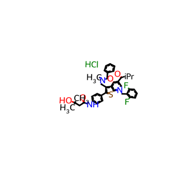 CC(C)C(=O)c1cn(Cc2c(F)cccc2F)c2sc(-c3ccc(NC(=O)CC(C)(C)O)cc3)c(CN(C)Cc3ccccc3)c2c1=O.Cl